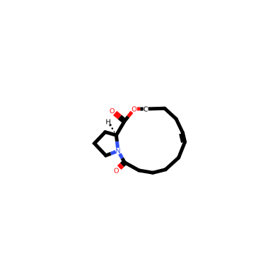 O=C1OCCC/C=C\CCCCC(=O)N2CCC[C@@H]12